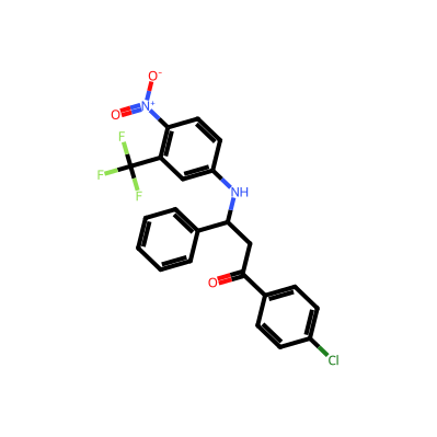 O=C(CC(Nc1ccc([N+](=O)[O-])c(C(F)(F)F)c1)c1ccccc1)c1ccc(Cl)cc1